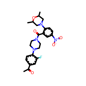 CC(=O)c1ccc(N2CCN(C(=O)c3cc([N+](=O)[O-])ccc3N3CC(C)OC(C)C3)CC2)c(F)c1